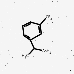 CC([AsH2])c1cccc(C(F)(F)F)c1